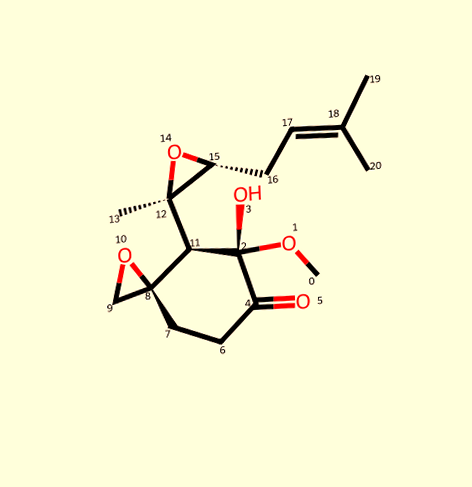 CO[C@]1(O)C(=O)CC[C@]2(CO2)[C@H]1[C@@]1(C)O[C@@H]1CC=C(C)C